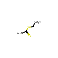 COC(=S)SCC(=O)O